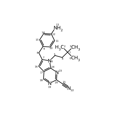 CC(C)(C)CCn1c(Cc2ccc(N)cc2)cc2cnc(C#N)nc21